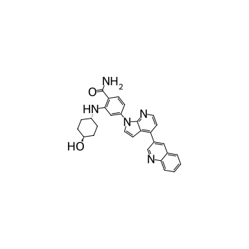 NC(=O)c1ccc(-n2ccc3c(-c4cnc5ccccc5c4)ccnc32)cc1N[C@H]1CC[C@H](O)CC1